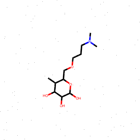 CC1C(COCCCN(C)C)OC(O)C(O)C1O